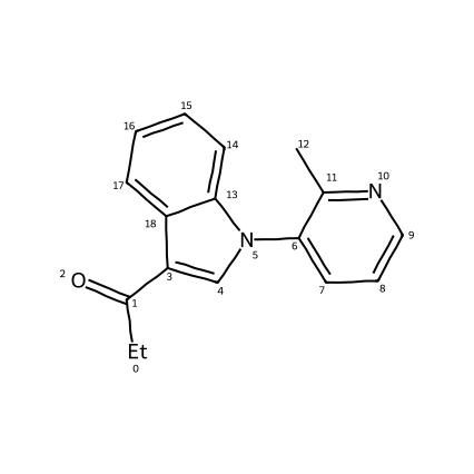 CCC(=O)c1cn(-c2cccnc2C)c2ccccc12